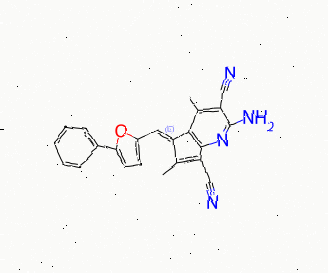 CC1=C(C#N)c2nc(N)c(C#N)c(C)c2/C1=C/c1ccc(-c2ccccc2)o1